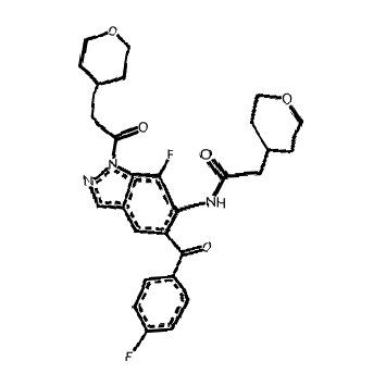 O=C(CC1CCOCC1)Nc1c(C(=O)c2ccc(F)cc2)cc2cnn(C(=O)CC3CCOCC3)c2c1F